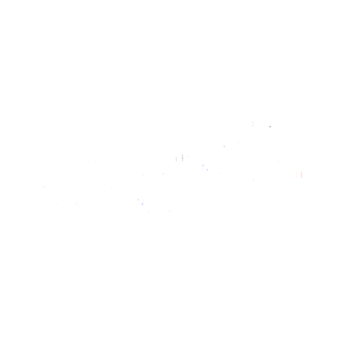 CCCN(CC1CCN(C(=O)c2coc3ccccc23)CC1)C1CCc2c(O)cccc2C1